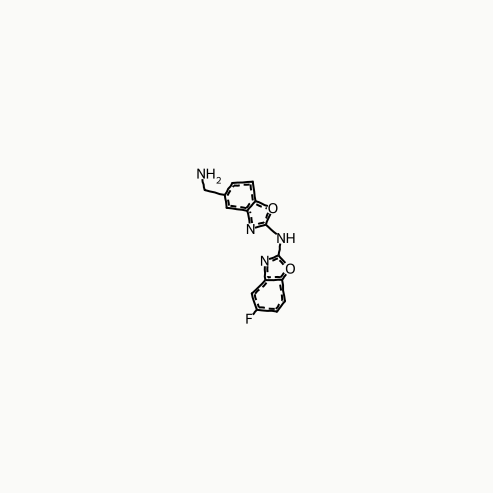 NCc1ccc2oc(Nc3nc4cc(F)ccc4o3)nc2c1